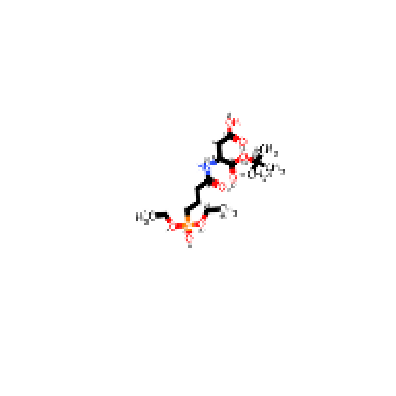 CCOP(=O)(CCCC(=O)NC(CC(=O)O)C(=O)OC(C)(C)C)OCC